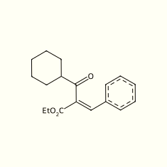 CCOC(=O)C(=Cc1ccccc1)C(=O)C1CCCCC1